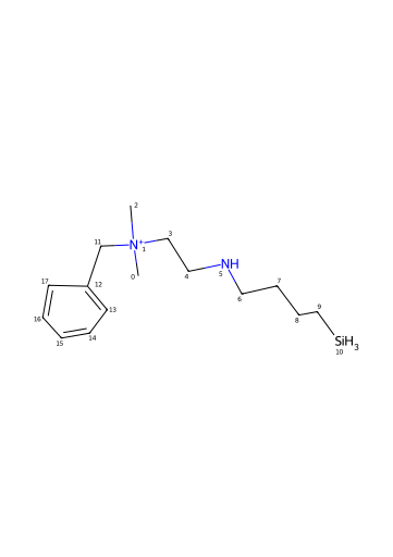 C[N+](C)(CCNCCCC[SiH3])Cc1ccccc1